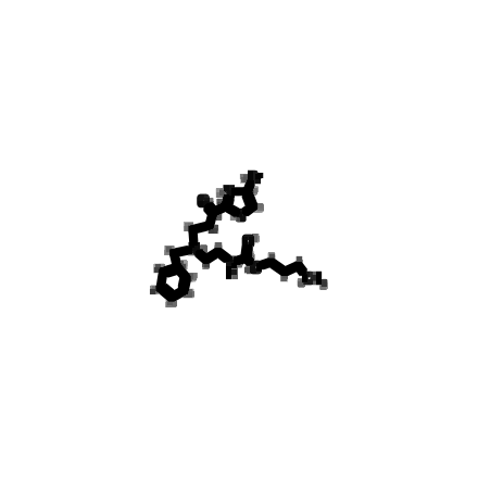 CCCCOC(=O)NCCN(CCC(=O)c1nc(Br)cs1)Cc1ccccc1